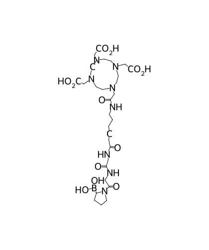 O=C(O)CN1CCN(CC(=O)O)CCN(CC(=O)NCCCCCC(=O)NCC(=O)NCC(=O)N2CCC[C@H]2B(O)O)CCN(CC(=O)O)CC1